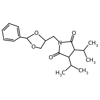 CC(C)C1C(=O)N(CC2COC(c3ccccc3)O2)C(=O)C1C(C)C